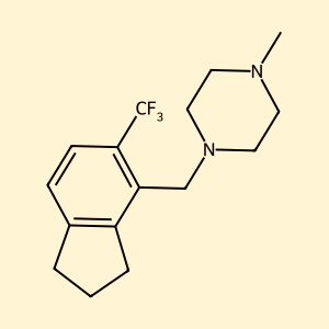 CN1CCN(Cc2c(C(F)(F)F)ccc3c2CCC3)CC1